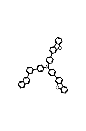 c1cc(-c2ccc(N(c3ccc(-c4ccc5c(c4)oc4ccccc45)cc3)c3ccc(-c4ccc5c(c4)oc4ccccc45)cc3)cc2)cc(-c2ccc3ccccc3c2)c1